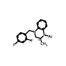 CC(=O)N1c2ccccc2N(Cc2ccc(F)cc2F)C[C@@H]1C